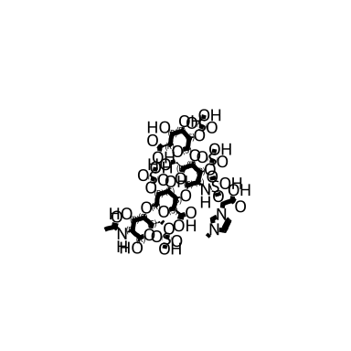 CC(=O)N[C@@H]1[C@@H](O)[C@H](O[C@@H]2O[C@H](C(=O)O)[C@@H](O[C@@H]3O[C@H](CO)[C@@H](O[C@H]4O[C@@H](C(=O)O)[C@H](O)[C@@H](O)[C@@H]4OS(=O)(=O)O)[C@H](OS(=O)(=O)O)[C@H]3NS(=O)(=O)O)[C@H](O)[C@H]2OS(=O)(=O)O)[C@H](COS(=O)(=O)O)O[C@H]1O.CN1C=CN(CC(=O)O)C1